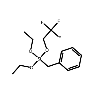 CCO[Si](Cc1ccccc1)(OCC)OCC(F)(F)F